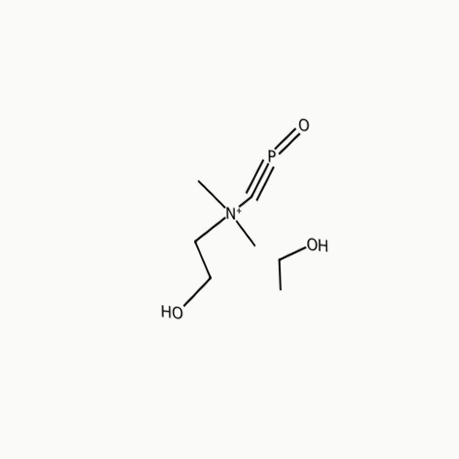 CCO.C[N+](C)(C#P=O)CCO